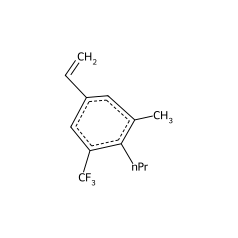 C=Cc1cc(C)c(CCC)c(C(F)(F)F)c1